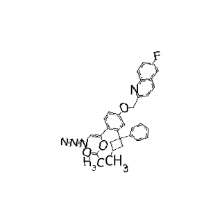 CC(=O)O/C(=C\N=[N+]=[N-])c1ccc(OCc2ccc3cc(F)ccc3n2)cc1C1(c2ccccc2)CC(C)C1